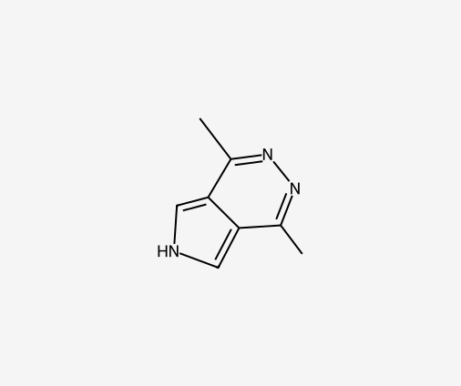 Cc1nnc(C)c2c[nH]cc12